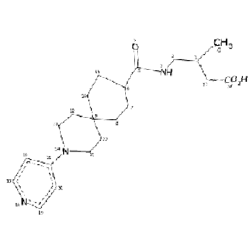 CC(CNC(=O)C1CCC2(CC1)CCN(c1ccncc1)CC2)CC(=O)O